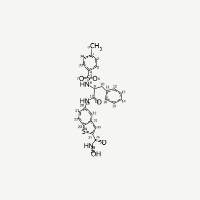 Cc1ccc(S(=O)(=O)NC(Cc2ccccc2)C(=O)Nc2ccc3sc(C(=O)NO)cc3c2)cc1